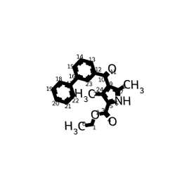 CCOC(=O)c1[nH]c(C)c(C(=O)c2cccc(-c3ccccc3)c2)c1C